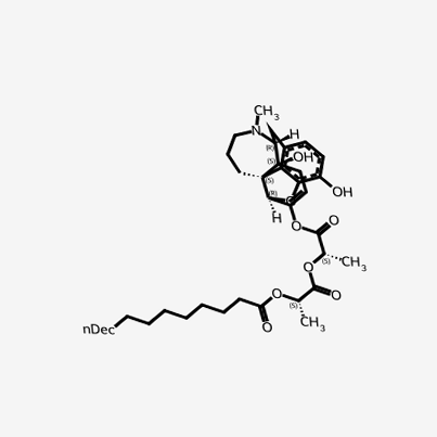 CCCCCCCCCCCCCCCCCC(=O)O[C@@H](C)C(=O)O[C@@H](C)C(=O)OC1=CC[C@@]2(O)[C@H]3Cc4ccc(O)c5c4[C@@]2(CCCN3C)[C@H]1O5